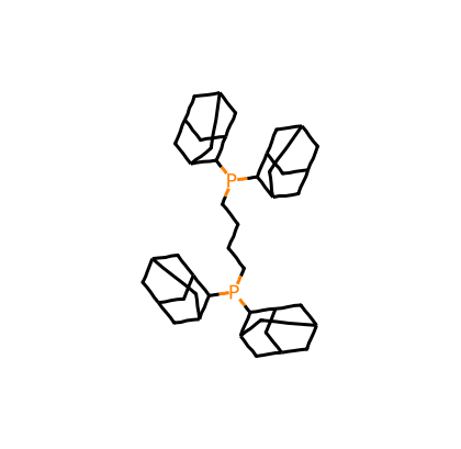 C(CCP(C1C2CC3CC(C2)CC1C3)C1C2CC3CC(C2)CC1C3)CP(C1C2CC3CC(C2)CC1C3)C1C2CC3CC(C2)CC1C3